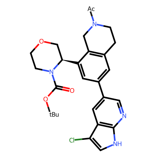 CC(=O)N1CCc2cc(-c3cnc4[nH]cc(Cl)c4c3)cc([C@@H]3COCCN3C(=O)OC(C)(C)C)c2C1